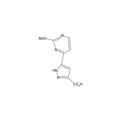 CSc1nccc(-c2cc(C(=O)O)n[nH]2)n1